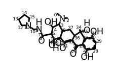 CN(C)C1C(O)C(C(=O)NCN2CCCC2)C(=O)C2(O)C(O)=C3C(=O)c4c(O)ccc(O)c4C(C)(O)C3CC12